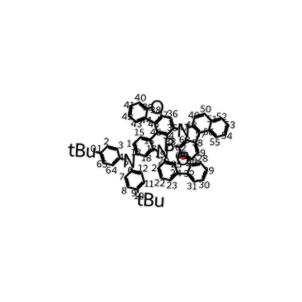 CC(C)(C)c1ccc(N(c2ccc(C(C)(C)C)cc2)c2ccc3c(c2)N(c2cccc4c2oc2ccccc24)B2c4c(cc5oc6ccccc6c5c4-3)-n3c4ccc5ccccc5c4c4cccc2c43)cc1